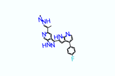 C=NN/C=C(\C)c1cc2c(-c3cc4c(-c5ccc(F)cc5)ccnc4[nH]3)n[nH]c2cn1